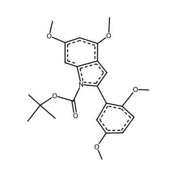 COc1ccc(OC)c(-c2cc3c(OC)cc(OC)cc3n2C(=O)OC(C)(C)C)c1